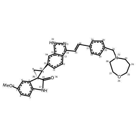 COc1ccc2c(c1)[C@]1(C[C@H]1c1ccc3c(C=Cc4ccc(CN5CCCOCC5)cc4)n[nH]c3c1)C(=O)N2